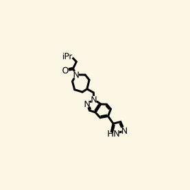 CC(C)CC(=O)N1CCCC(Cn2ncc3cc(-c4cn[nH]c4)ccc32)CC1